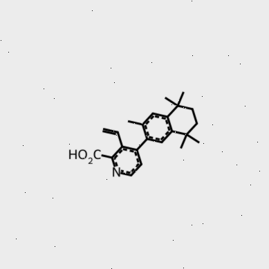 C=Cc1c(-c2cc3c(cc2C)C(C)(C)CCC3(C)C)ccnc1C(=O)O